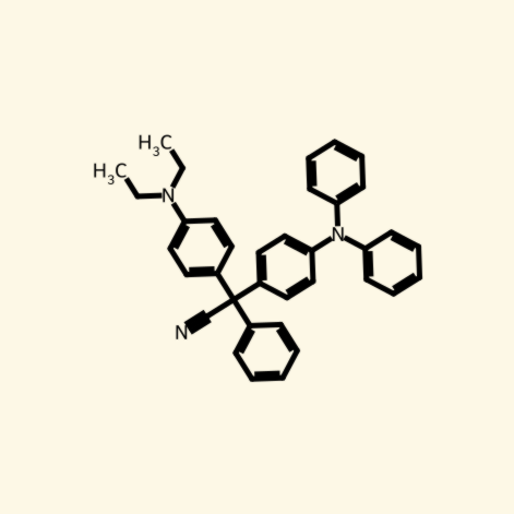 CCN(CC)c1ccc(C(C#N)(c2ccccc2)c2ccc(N(c3ccccc3)c3ccccc3)cc2)cc1